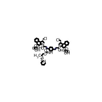 CC(COC(=O)Nc1cc(/C=C/C(=O)N2C[C@@H](CCl)c3c2cc(OP(=O)(O)O)c2ccccc32)ccc1/C=C/C(=O)N1C[C@@H](CCl)c2c1cc(OP(=O)(O)O)c1ccccc21)SSc1ccccn1